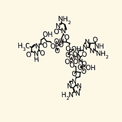 Cc1cn(C2C[C@@H](O)C(COP(=O)(O)O[C@@H]3CC(n4ccc(N)nc4=O)OC3COP(=O)(O)O[C@@H]3CC(n4cnc5c(=O)[nH]c(N)nc54)OC3COP(=O)(O)O[C@@H]3CC(n4cnc5c(N)ncnc54)OC3COP(=O)(O)O)O2)c(=O)[nH]c1=O